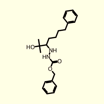 CC(C)(O)C(CCCCc1ccccc1)NNC(=O)OCc1ccccc1